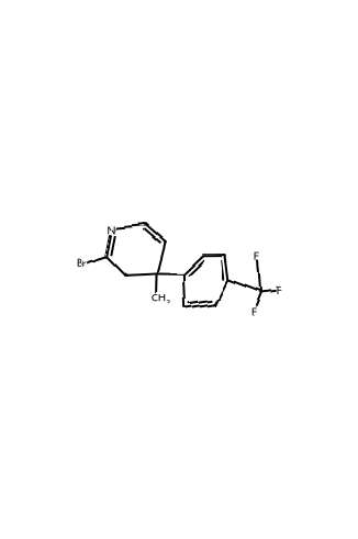 CC1(c2ccc(C(F)(F)F)cc2)C=CN=C(Br)C1